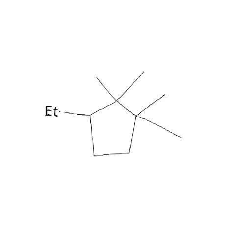 CCC1CCC(C)(C)C1(C)C